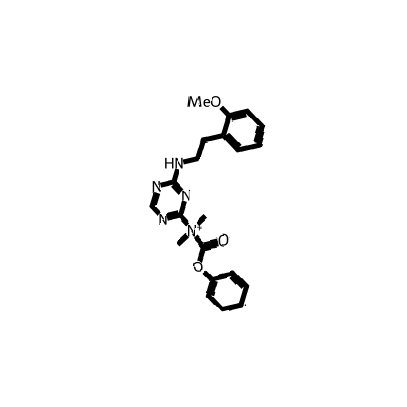 COc1ccccc1CCNc1ncnc([N+](C)(C)C(=O)OC2=CC[CH]C=C2)n1